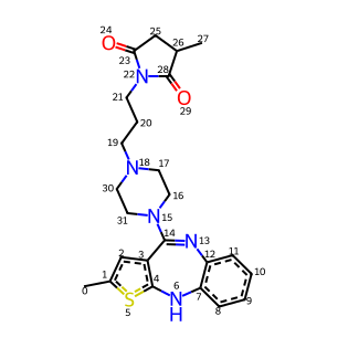 Cc1cc2c(s1)Nc1ccccc1N=C2N1CCN(CCCN2C(=O)CC(C)C2=O)CC1